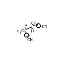 C[C@@H](NCCN[C@H](C)c1ccc(C#N)cc1)c1ccc(C#N)cc1